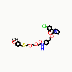 COc1ccc(CSCCOCCOCC(=O)Nc2ccc(CCOC(=O)C3C(c4ccc(Cl)cc4)CC4CCC3N4C)cc2)cc1